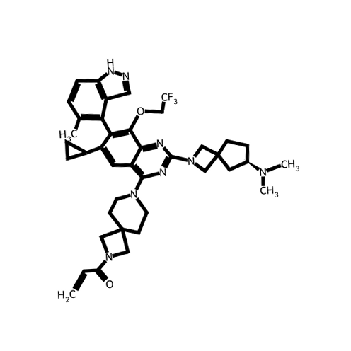 C=CC(=O)N1CC2(CCN(c3nc(N4CC5(CC[C@@H](N(C)C)C5)C4)nc4c(OCC(F)(F)F)c(-c5c(C)ccc6[nH]ncc56)c(C5CC5)cc34)CC2)C1